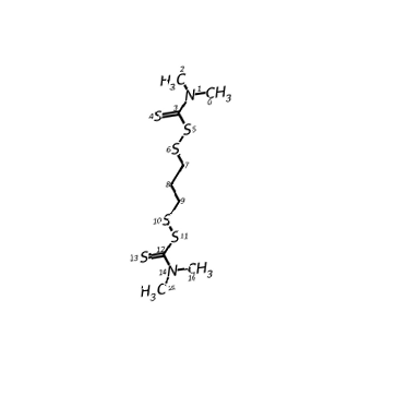 CN(C)C(=S)SSCCCSSC(=S)N(C)C